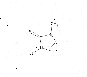 CCn1ccn(C)c1=S